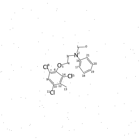 CCN(CCOc1c(Cl)cc(Cl)c(C)c1Cl)c1ccccc1